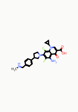 CNCc1ccc(C2CCN(c3c(F)c(N)c4c(=O)c(C(=O)O)cn(C5CC5)c4c3F)C2)cc1